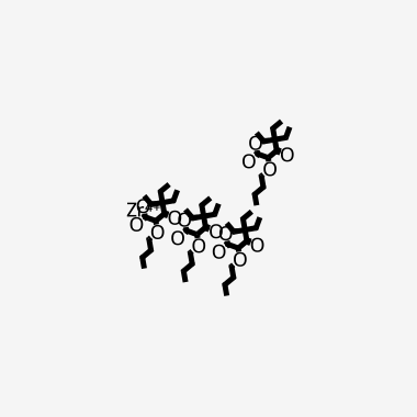 CCCCOC(C(=O)[O-])C(=O)C(CC)(CC)CC.CCCCOC(C(=O)[O-])C(=O)C(CC)(CC)CC.CCCCOC(C(=O)[O-])C(=O)C(CC)(CC)CC.CCCCOC(C(=O)[O-])C(=O)C(CC)(CC)CC.[Zr+4]